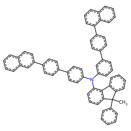 CC1(c2ccccc2)c2ccccc2-c2c(N(c3ccc(-c4ccc(-c5ccc6ccccc6c5)cc4)cc3)c3cccc(-c4ccc(-c5cccc6ccccc56)cc4)c3)cccc21